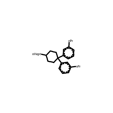 CCCCCCCC1CCC(c2cccc(CCC)c2)(c2cccc(CCC)c2)CC1